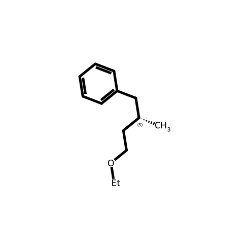 CCOCC[C@@H](C)Cc1ccccc1